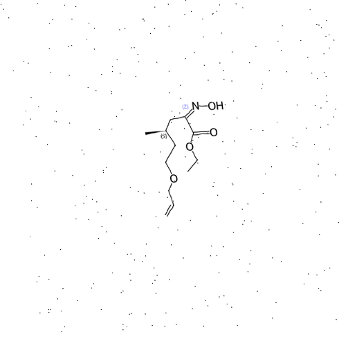 C=CCOCC[C@@H](C)C/C(=N/O)C(=O)OCC